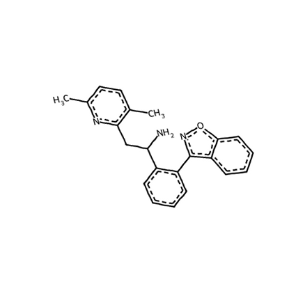 Cc1ccc(C)c(CC(N)c2ccccc2-c2noc3ccccc23)n1